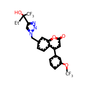 CCC(O)(c1cn(Cc2ccc3c(-c4cccc(OC(F)(F)F)c4)cc(=O)oc3c2)nn1)C(F)(F)F